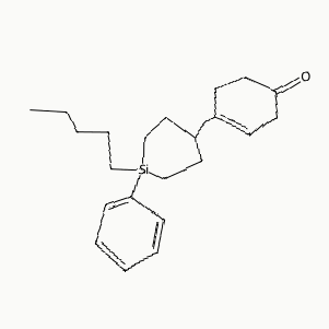 CCCCC[Si]1(c2ccccc2)CCC(C2=CCC(=O)CC2)CC1